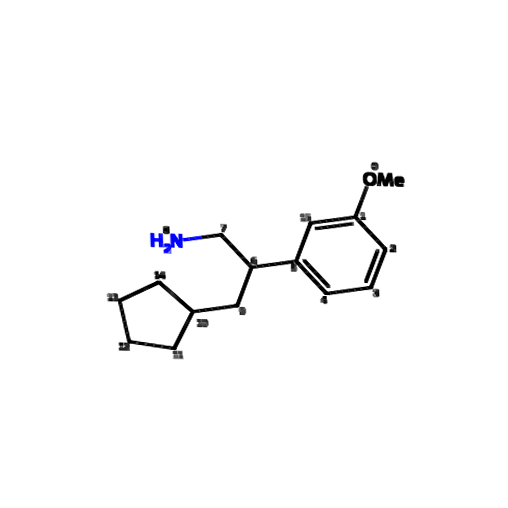 COc1cccc(C(CN)CC2CCCC2)c1